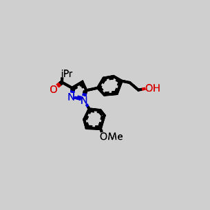 COc1ccc(-n2nc(C(=O)C(C)C)cc2-c2ccc(CCO)cc2)cc1